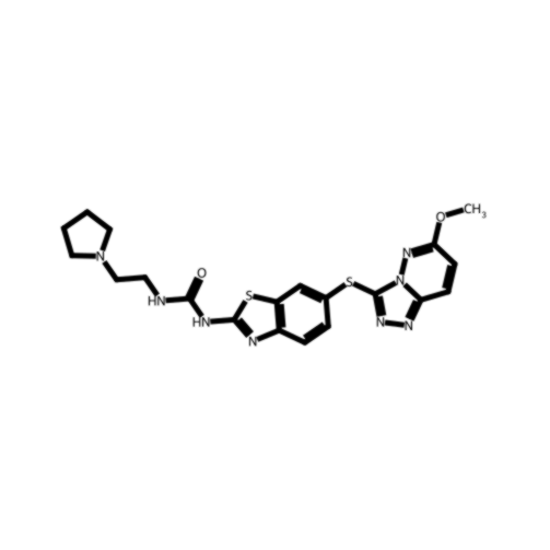 COc1ccc2nnc(Sc3ccc4nc(NC(=O)NCCN5CCCC5)sc4c3)n2n1